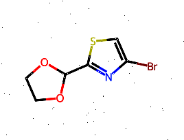 Brc1csc(C2OCCO2)n1